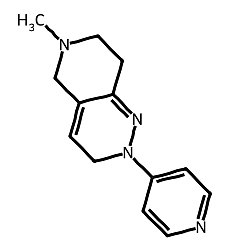 CN1CCC2=NN(c3ccncc3)CC=C2C1